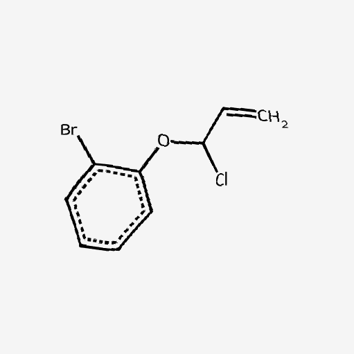 C=CC(Cl)Oc1ccccc1Br